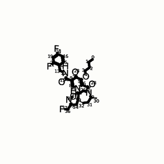 CCCCOc1c2n(cc(C(=O)NCc3ccc(F)cc3F)c1=O)[C@@H]1CN(C2=O)[C@@H](C)CC[C@@]12CC(CF)=NO2